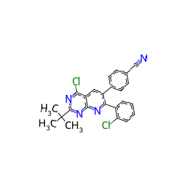 CC(C)(C)c1nc(Cl)c2cc(-c3ccc(C#N)cc3)c(-c3ccccc3Cl)nc2n1